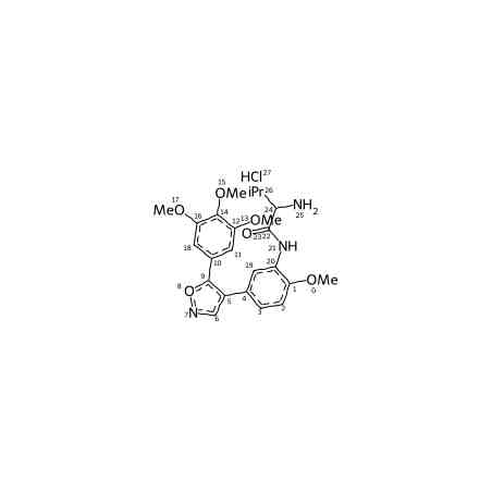 COc1ccc(-c2cnoc2-c2cc(OC)c(OC)c(OC)c2)cc1NC(=O)C(N)C(C)C.Cl